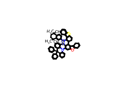 CC1(C)CCC(C)(C)c2cc(Nc3c(-c4c5c(cc6oc7ccccc7c46)N4c6ccccc6C(c6ccccc6)(c6ccccc6)c6cccc(c64)B5)ccc4sc5ccccc5c34)ccc21